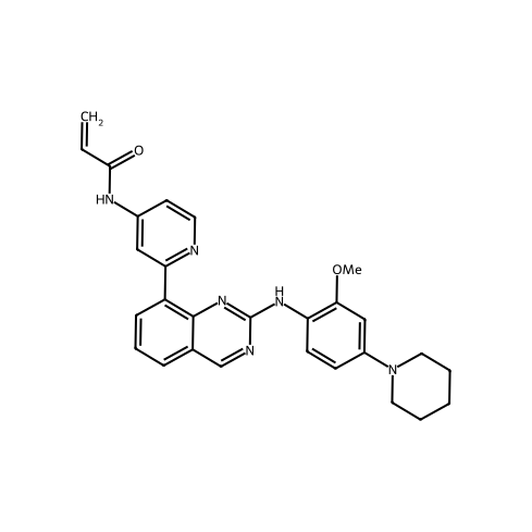 C=CC(=O)Nc1ccnc(-c2cccc3cnc(Nc4ccc(N5CCCCC5)cc4OC)nc23)c1